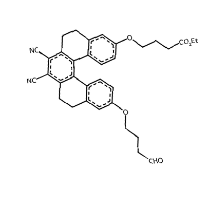 CCOC(=O)CCCOc1ccc2c(c1)CCc1c(C#N)c(C#N)c3c(c1-2)-c1ccc(OCCCC=O)cc1CC3